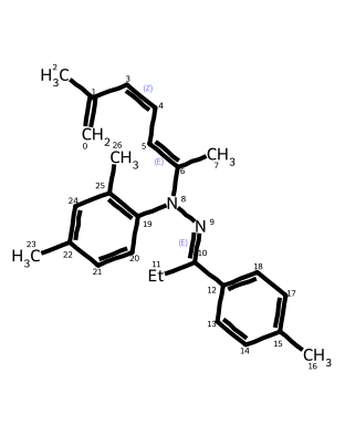 C=C(C)/C=C\C=C(/C)N(/N=C(\CC)c1ccc(C)cc1)c1ccc(C)cc1C